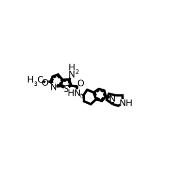 COc1ccc2c(N)c(C(=O)N[C@H]3CCc4cc(N5C6CCC5CNC6)ccc4C3)sc2n1